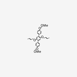 C/C=C/COc1cc(-c2ccc(OCOC)cc2)c(OC/C=C/C)cc1-c1ccc(OCOC)cc1